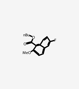 CCCCOC(=O)c1c(OC)ccc2cc(F)ccc12